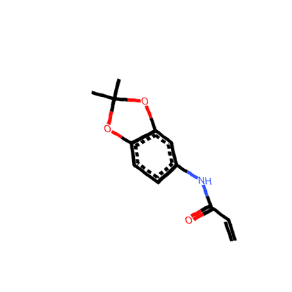 C=CC(=O)Nc1ccc2c(c1)OC(C)(C)O2